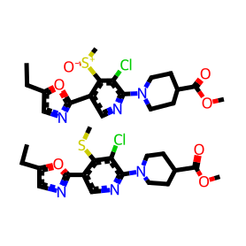 CCc1cnc(-c2cnc(N3CCC(C(=O)OC)CC3)c(Cl)c2SC)o1.CCc1cnc(-c2cnc(N3CCC(C(=O)OC)CC3)c(Cl)c2[S+](C)[O-])o1